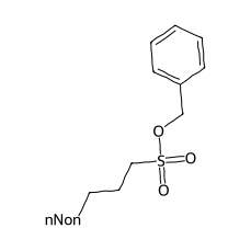 CCCCCCCCCCCCS(=O)(=O)OCc1ccccc1